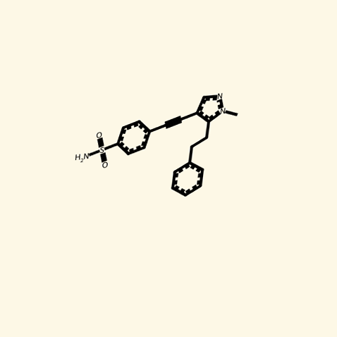 Cn1ncc(C#Cc2ccc(S(N)(=O)=O)cc2)c1CCc1ccccc1